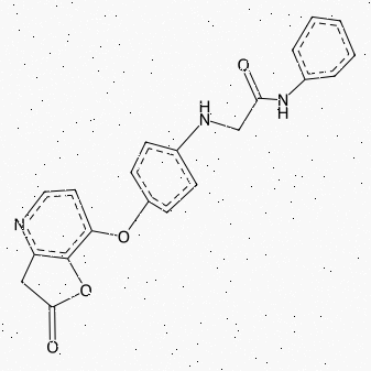 O=C(CNc1ccc(Oc2ccnc3c2OC(=O)C3)cc1)Nc1ccccc1